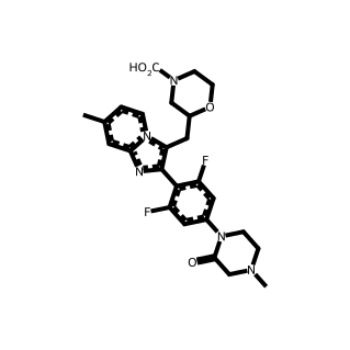 Cc1ccn2c(CC3CN(C(=O)O)CCO3)c(-c3c(F)cc(N4CCN(C)CC4=O)cc3F)nc2c1